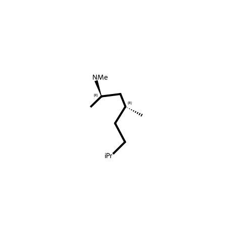 CN[C@H](C)C[C@H](C)CCC(C)C